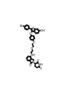 O=C1CCC(N2Cc3c(NCCOCCOc4ccc(Oc5c(-c6ccc(Br)cc6)sc6cc(O)ccc56)cc4)cccc3C2=O)C(=O)N1